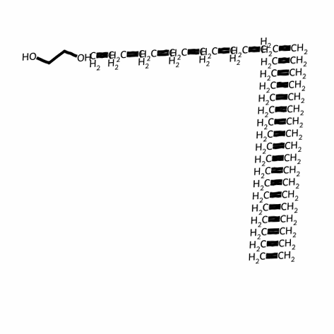 C=C.C=C.C=C.C=C.C=C.C=C.C=C.C=C.C=C.C=C.C=C.C=C.C=C.C=C.C=C.C=C.C=C.C=C.C=C.C=C.C=C.C=C.C=C.C=C.OCCO